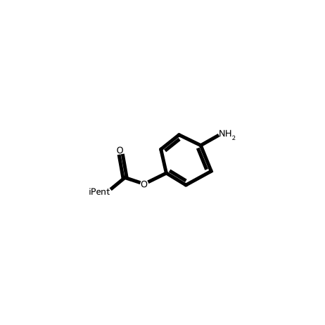 CCCC(C)C(=O)Oc1ccc(N)cc1